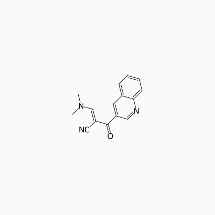 CN(C)C=C(C#N)C(=O)c1cnc2ccccc2c1